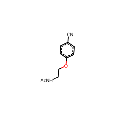 [CH2]C(=O)NCCOc1ccc(C#N)cc1